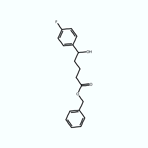 O=C(CCCC(O)c1ccc(F)cc1)OCc1ccccc1